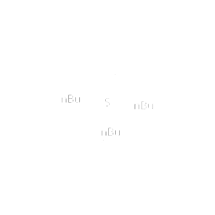 CCCCS(C)(CCCC)CCCC